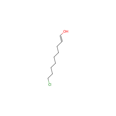 OC=CCCCCCCCCl